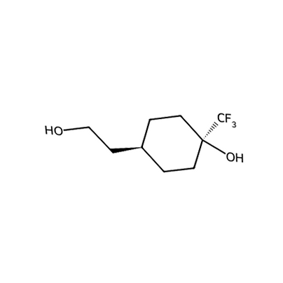 OCC[C@H]1CC[C@](O)(C(F)(F)F)CC1